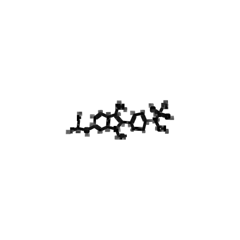 CCCn1c(-c2ccc(N(C)S(=O)(=O)CC)cc2)c(N)c2ccc(OC(F)F)cc21